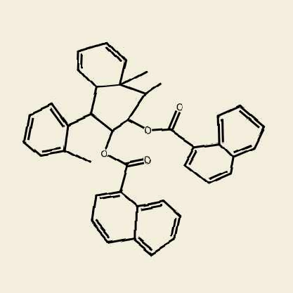 Cc1ccccc1C1C(OC(=O)c2cccc3ccccc23)C(OC(=O)c2cccc3ccccc23)C(C)C2(C)C=CC=CC12